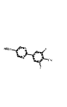 CCCCCCc1cnc(-c2cc(F)c(C#N)c(F)c2)nc1